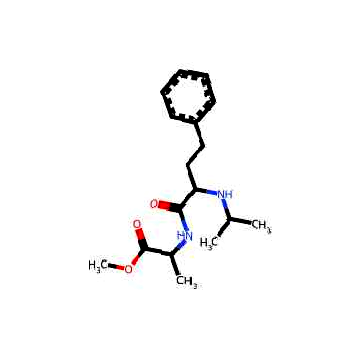 COC(=O)C(C)NC(=O)C(CCc1ccccc1)NC(C)C